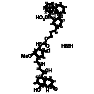 COc1cc(NC(=O)OCCCc2ccc(-c3ccccc3)c(N(C(=O)O)[C@H]3CN4CCC3CC4)c2)c(Cl)cc1CNC[C@H](O)c1ccc(O)c2[nH]c(=O)ccc12.F.F